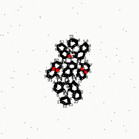 S=P12c3c4cccc3N(c3ccccc3)c3c1c(cc1ccccc31)N(c1ccccc1)c1c2c(cc2c3c5c(cc12)N(c1ccccc1)c1cc2ccccc2c2c1P5(=S)c1c(cc5ccccc5c1N2c1ccccc1)N3c1ccccc1)N4c1ccccc1